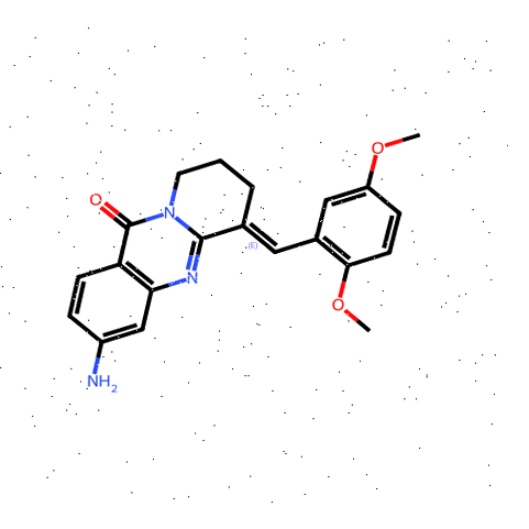 COc1ccc(OC)c(/C=C2\CCCn3c2nc2cc(N)ccc2c3=O)c1